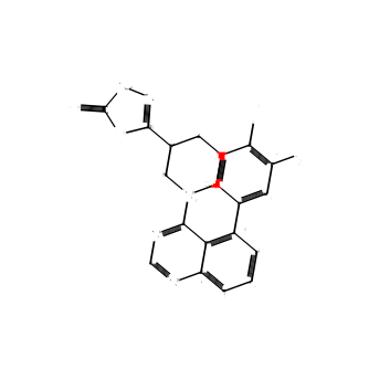 O=c1[nH]nc(C2CCCN(c3ncnc4cccc(-c5ccc(Cl)c(Cl)c5)c34)C2)o1